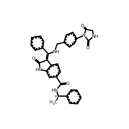 C[C@@H](NC(=O)c1ccc2c(c1)NC(=O)C2=C(NCc1ccc(N2C(=O)CNC2=O)cc1)c1ccccc1)c1ccccc1